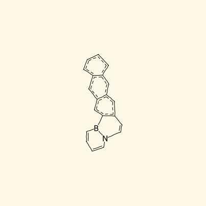 C1=CB2c3cc4cc5ccccc5cc4cc3C=CN2C=C1